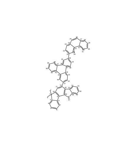 CC1(C)c2ccccc2-c2c1cc(-c1ccc3c4ccc(-c5ccc6ccc7cccnc7c6n5)cc4c4ccccc4c3c1)c1c2sc2ccccc21